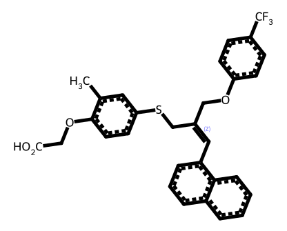 Cc1cc(SC/C(=C\c2cccc3ccccc23)COc2ccc(C(F)(F)F)cc2)ccc1OCC(=O)O